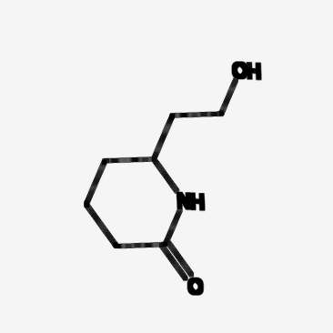 O=C1CCCC(CCO)N1